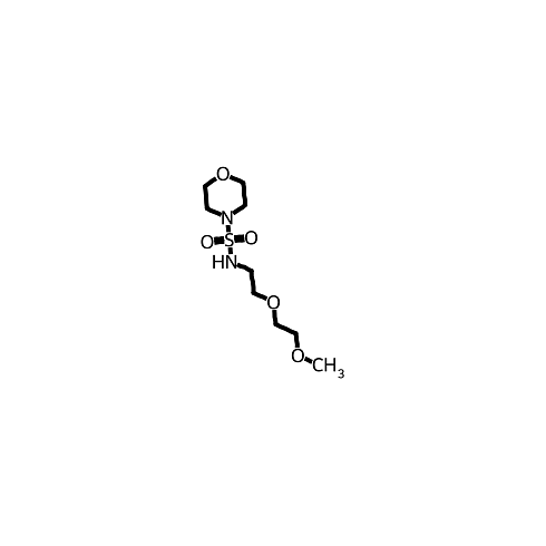 COCCOCCNS(=O)(=O)N1CCOCC1